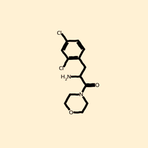 NC(Cc1ccc(Cl)cc1Cl)C(=O)N1CCOCC1